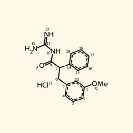 COc1cccc(CC(C(=O)NC(=N)N)c2ccccc2)c1.Cl